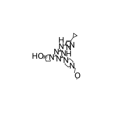 COCCN1CCN(c2nc(Nc3cc(C4CC4)n[nH]3)nc(N3CC[C@H](O)C3)n2)CC1